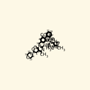 CCCCc1nc(C)c(CC(=O)N2CCOCC2)c(=O)n1Cc1ccc(-c2ccccc2S(=O)(=O)N(COC)c2noc(C)c2C)c(C(=O)O)c1